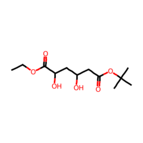 CCOC(=O)C(O)CC(O)CC(=O)OC(C)(C)C